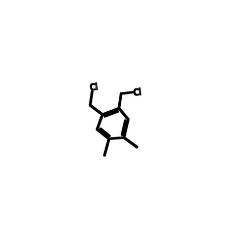 Cc1cc(CCl)c(CCl)cc1C